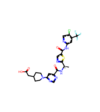 C[C@@H](NC(=O)c1cc(N2CCC(CC(=O)O)CC2)ncn1)c1ncc(C(=O)Nc2cc(C(F)(F)F)c(Cl)cn2)s1